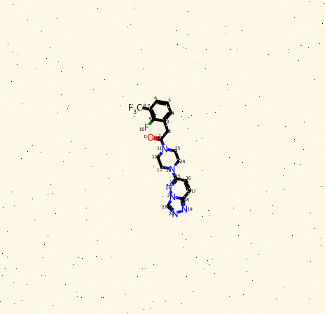 O=C(Cc1cccc(C(F)(F)F)c1F)N1CCN(c2ccc3nncn3n2)CC1